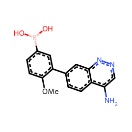 COc1ccc(B(O)O)cc1-c1ccc2c(N)cnnc2c1